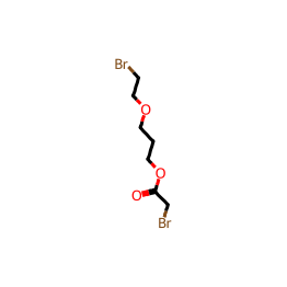 O=C(CBr)OCCCOCCBr